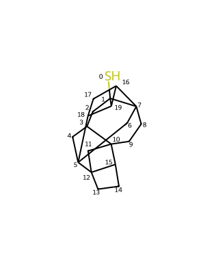 SC12CC3CC45CC1(CCC31CC43CCC13)C1CC5C12